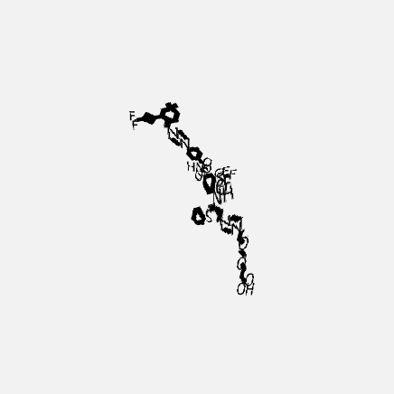 CC1(C)CCC(CN2CCN(c3ccc(C(=O)NS(=O)(=O)c4ccc(NC(CCN5CCN(CCOCCOCCC(=O)O)CC5)CSc5ccccc5)c(S(=O)(=O)C(F)(F)F)c4)cc3)CC2)=C(C23CC(C(F)F)(C2)C3)C1